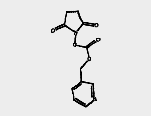 O=C(OCc1cccnc1)ON1C(=O)CCC1=O